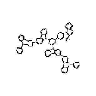 CC1(C)c2cc(-c3cc(-n4c5ccccc5c5cc(-c6ccc7c(c6)c6ccccc6n7-c6ccccc6)ccc54)nc(-n4c5ccccc5c5cc(-c6ccc7c(c6)c6ccccc6n7-c6ccccc6)ccc54)n3)ccc2-c2c1ccc1ccccc21